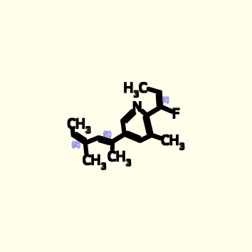 C/C=C(C)\C=C(/C)c1cnc(/C(F)=C\C)c(C)c1